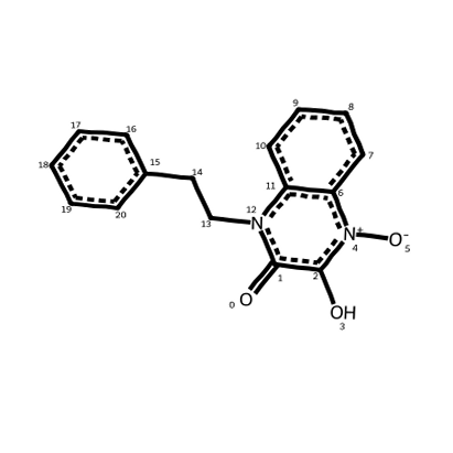 O=c1c(O)[n+]([O-])c2ccccc2n1CCc1ccccc1